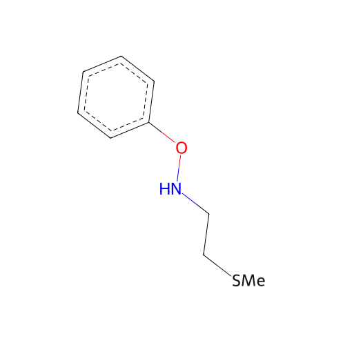 CSCCNOc1ccccc1